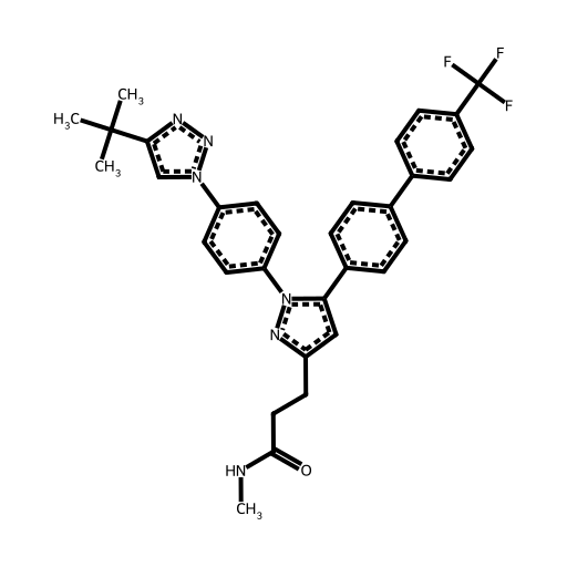 CNC(=O)CCc1cc(-c2ccc(-c3ccc(C(F)(F)F)cc3)cc2)n(-c2ccc(-n3cc(C(C)(C)C)nn3)cc2)n1